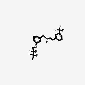 FC(F)(F)c1cccc(CCNCc2cccc(OCC(F)(F)C(F)(F)F)c2)c1